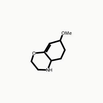 COC1C=C2OCCNC2CC1